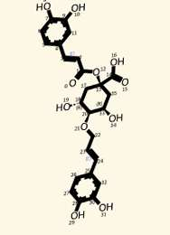 O=C(/C=C/c1ccc(O)c(O)c1)O[C@]1(C(=O)O)C[C@@H](O)[C@H](OC/C=C/c2ccc(O)c(O)c2)[C@H](O)C1